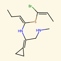 C/C=C(/Br)S/C(=C/CC)NC(CNC)=C1CC1